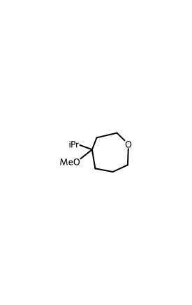 COC1(C(C)C)CCCOCC1